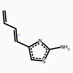 C=C/C=C/c1csc(N)n1